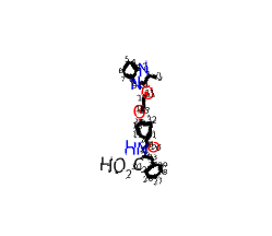 Cc1nc2ccccc2nc1OCCOc1ccc(C(=O)N[C@@H](Cc2ccccc2)C(=O)O)cc1